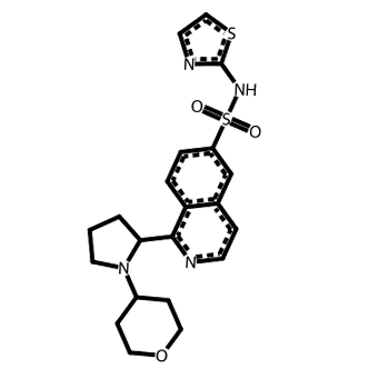 O=S(=O)(Nc1nccs1)c1ccc2c(C3CCCN3C3CCOCC3)nccc2c1